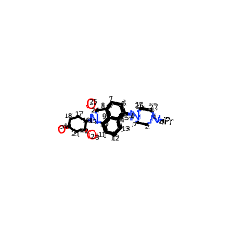 CC(C)N1CCN(c2ccc3c4c(cccc24)N(C2CCC(=O)CC2=O)C3=O)CC1